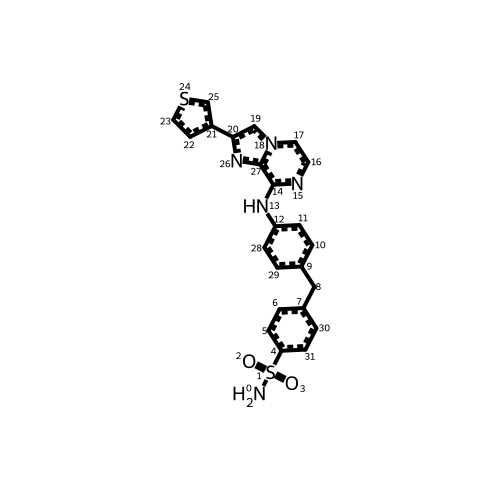 NS(=O)(=O)c1ccc(Cc2ccc(Nc3nccn4cc(-c5ccsc5)nc34)cc2)cc1